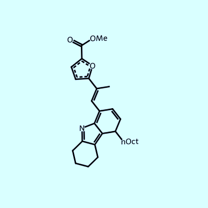 CCCCCCCCC1C=CC(/C=C(\C)c2ccc(C(=O)OC)o2)=C2N=C3CCCCC3=C21